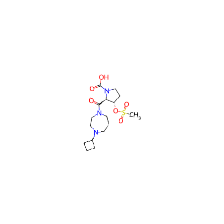 CS(=O)(=O)O[C@H]1CCN(C(=O)O)[C@@H]1C(=O)N1CCCN(C2CCC2)CC1